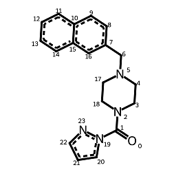 O=C(N1CCN(Cc2ccc3ccccc3c2)CC1)n1cccn1